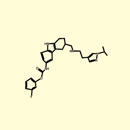 CC(C)n1cc(CCNCC2CCc3[nH]c4ccc(NC(=O)Oc5cccc(F)c5)cc4c3C2)cn1